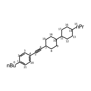 CCCCc1ccc(C#CC2CCC(C3CCC(CCC)CC3)CC2)cc1